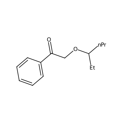 CCCC(CC)OCC(=O)c1ccccc1